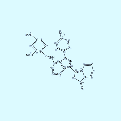 COc1ccc(CNc2nccc3c2c(-c2ccc(N)cc2)nn3C2=C3C=CC=CN3C(=O)C2)c(OC)c1